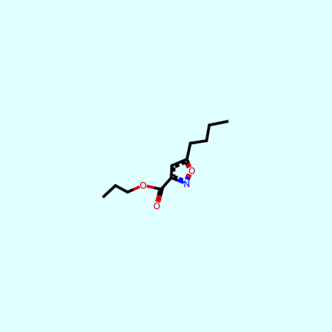 CCCCc1cc(C(=O)OCCC)no1